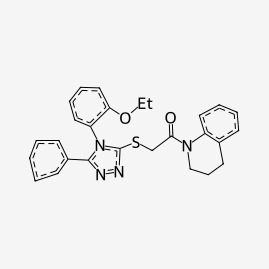 CCOc1ccccc1-n1c(SCC(=O)N2CCCc3ccccc32)nnc1-c1ccccc1